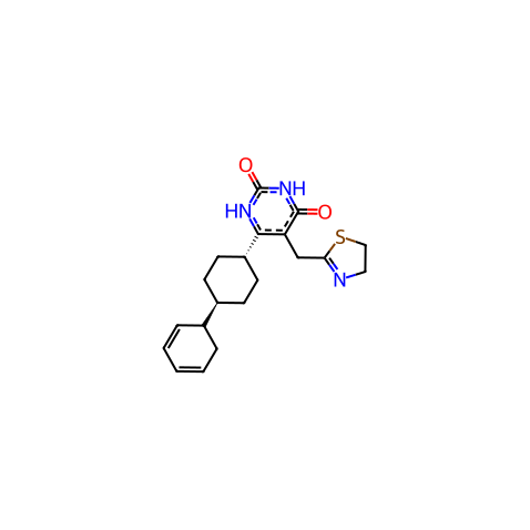 O=c1[nH]c(=O)c(CC2=NCCS2)c([C@H]2CC[C@H](C3C=CC=CC3)CC2)[nH]1